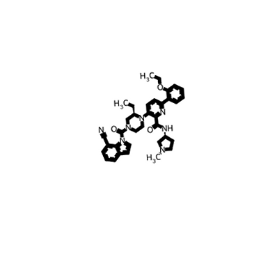 CCOc1ccccc1-c1ccc(N2CCN(C(=O)n3ccc4cccc(C#N)c43)C[C@H]2CC)c(C(=O)N[C@@H]2CCN(C)C2)n1